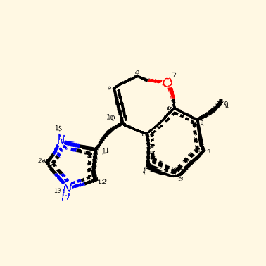 Cc1cccc2c1OCC=C2c1c[nH]cn1